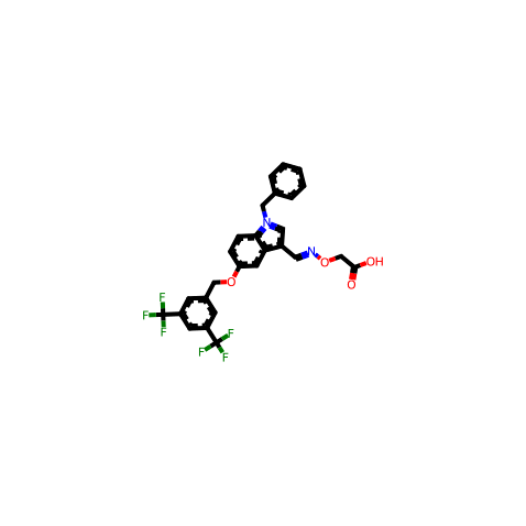 O=C(O)CON=Cc1cn(Cc2ccccc2)c2ccc(OCc3cc(C(F)(F)F)cc(C(F)(F)F)c3)cc12